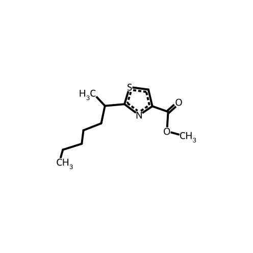 CCCCCC(C)c1nc(C(=O)OC)cs1